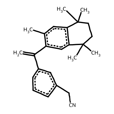 C=C(c1cccc(CC#N)c1)c1cc2c(cc1C)C(C)(C)CCC2(C)C